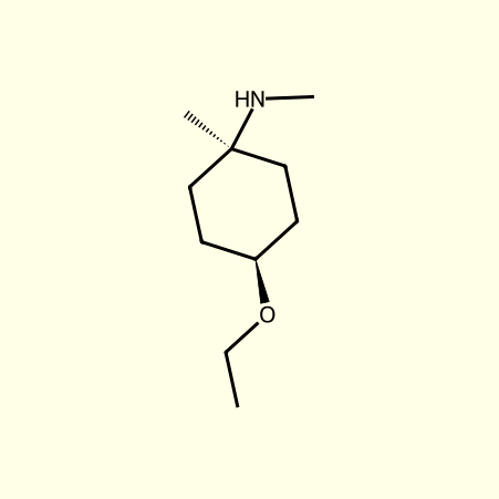 CCO[C@H]1CC[C@@](C)(NC)CC1